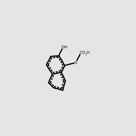 O=C(O)Oc1c(O)ccc2ccccc12